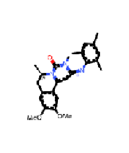 COc1cc2c(cc1OC)-c1c/c(=N/c3c(C)cc(C)cc3C)n(C)c(=O)n1[C@H](C)C2